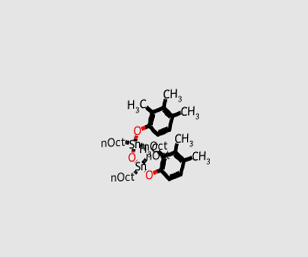 CCCCCCC[CH2][Sn]([CH2]CCCCCCC)([O]c1ccc(C)c(C)c1C)[O][Sn]([CH2]CCCCCCC)([CH2]CCCCCCC)[O]c1ccc(C)c(C)c1C